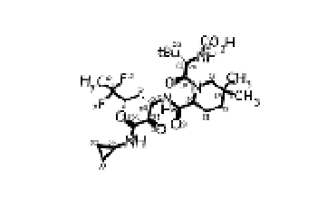 CC(F)(F)CC[C@H](NC(=O)C1CCC(C)(C)CN1C(=O)[C@@H](NC(=O)O)C(C)(C)C)C(=O)C(=O)NC1CC1